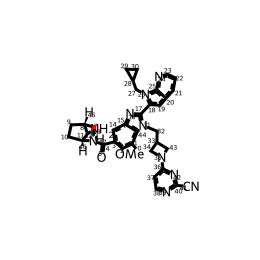 COc1cc(C(=O)N2C[C@H]3CC[C@@H]2[C@@H]3N)cc2nc(-c3cc4cccnc4n3CC3CC3)n(CC3CN(c4ccnc(C#N)n4)C3)c12